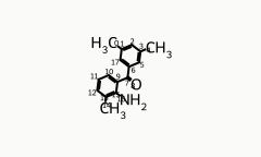 Cc1cc(C)cc(C(=O)c2cccc(C)c2N)c1